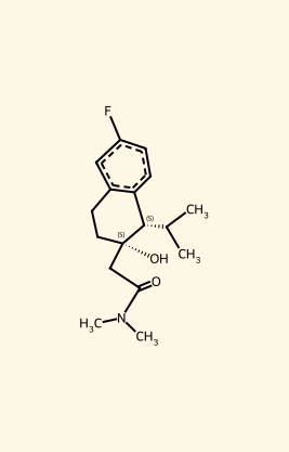 CC(C)[C@H]1c2ccc(F)cc2CC[C@]1(O)CC(=O)N(C)C